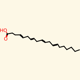 CCCCCCC=CCC=CCC=CCC=CCCC(=O)O